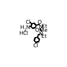 CCN(CCN(CC)C(=O)c1cc(Cl)c(N)cc1OC)Cc1ccc(Cl)cc1.Cl